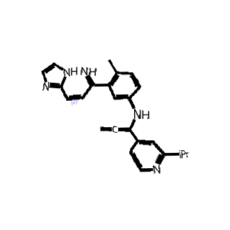 C=C=C(Nc1ccc(C)c(C(=N)/C=C\c2ncc[nH]2)c1)c1ccnc(C(C)C)c1